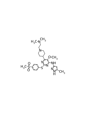 COc1c(Nc2cc(C)[nH]n2)nc(Sc2ccc(S(C)(=O)=O)cc2)nc1C1CCN(CCN(C)C)CC1